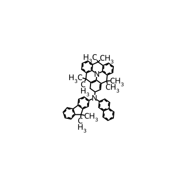 CC1(C)C2=CC(N(c3ccc4c(c3)C(C)(C)c3ccccc3-4)c3ccc4ccccc4c3)CC3=C2N2c4c1cccc4C(C)(C)c1cccc(c12)C3(C)C